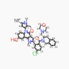 Cc1c(-n2c(=O)c3cc(-c4cc(Cl)ccc4C(=O)N4Cc5ccccc5C[C@H]4CN4CCOCC4)n(C)c3c3cc(O)ccc32)cc(C#N)n1C